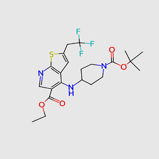 CCOC(=O)c1cnc2sc(CC(F)(F)F)cc2c1NC1CCN(C(=O)OC(C)(C)C)CC1